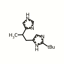 CC(Cc1cnc(C(C)(C)C)[nH]1)c1c[nH]cn1